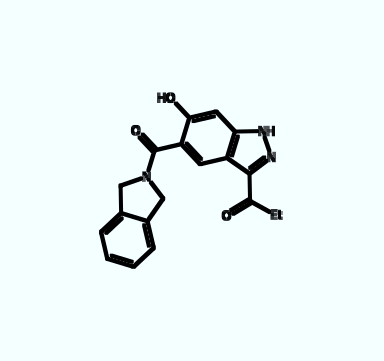 CCC(=O)c1n[nH]c2cc(O)c(C(=O)N3Cc4ccccc4C3)cc12